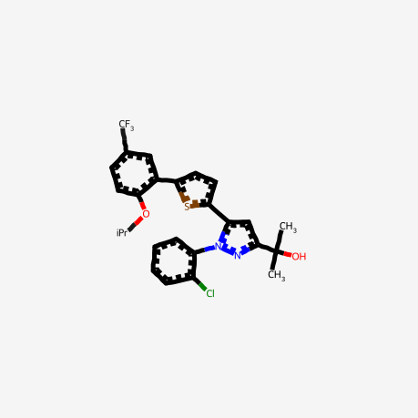 CC(C)Oc1ccc(C(F)(F)F)cc1-c1ccc(-c2cc(C(C)(C)O)nn2-c2ccccc2Cl)s1